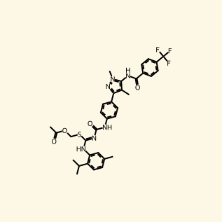 CC(=O)OCS/C(=N\C(=O)Nc1ccc(-c2nn(C)c(NC(=O)c3ccc(C(F)(F)F)cc3)c2C)cc1)Nc1cc(C)ccc1C(C)C